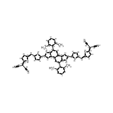 Cc1cccc(C)c1-c1cc2c3cc(-c4ccc(/C=c5/ccc(=C(C#N)C#N)s5)s4)sc3c(-c3c(C)cccc3C)cc2c2cc(-c3ccc(/C=c4/ccc(=C(C#N)C#N)s4)s3)sc12